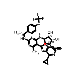 Cc1nc(N[C@H](C)c2ccc(OC(F)(F)F)cc2)nc(NC2C[C@H](CC#N)[C@@H](O)[C@H]2O)c1-c1nc2c(C3CC3)nccc2s1